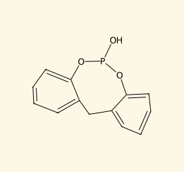 OP1Oc2ccccc2Cc2ccccc2O1